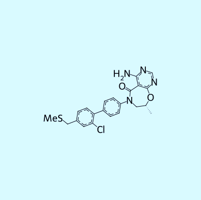 CSCc1ccc(-c2ccc(N3C[C@@H](C)Oc4ncnc(N)c4C3=O)cc2)c(Cl)c1